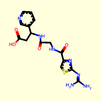 NC(N)=Nc1nc(C(=O)NCC(=O)NC(CC(=O)O)c2cccnc2)cs1